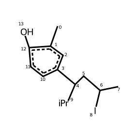 Cc1cc(C(CC(C)I)C(C)C)ccc1O